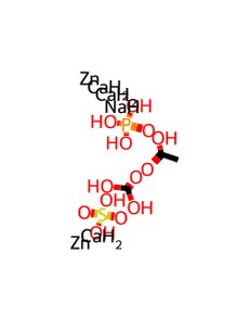 CC(=O)O.O=C(O)O.O=P(O)(O)O.O=S(=O)(O)O.[CaH2].[CaH2].[CaH2].[NaH].[Zn].[Zn]